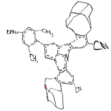 Cc1cc(C(C)(C)C)cc(C)c1-c1cc2c3c4c(c(C#N)cc3n3c5cc(C#N)c6c(c5c(c1)c23)C1CC2CC3CC6CC32C1)C1CC2CC(C1)CC4C2